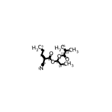 C=CC=C(C#N)C(=O)OC(CC)OC(=O)C(=C)C